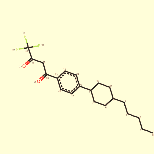 CCCCCC1CCC(c2ccc(C(=O)CC(=O)C(F)(F)F)cc2)CC1